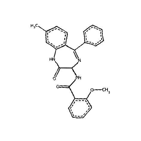 COc1ccccc1C(=O)NC1N=C(c2ccccc2)c2ccc(C)cc2NC1=O